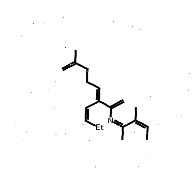 C=C(C)CC/C=C(\C=C/CC)C(=C)/N=C(C)\C(C)=C/C